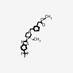 CCOC(=O)Cc1cccc(CN2CCN(c3nc4ccc(C(F)(F)F)cc4s3)[C@@H](CC)C2)c1